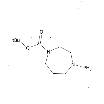 CC(C)(C)OC(=O)N1CCCN(P)CC1